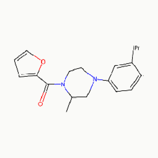 CC(C)c1[c]ccc(N2CCN(C(=O)c3ccco3)C(C)C2)c1